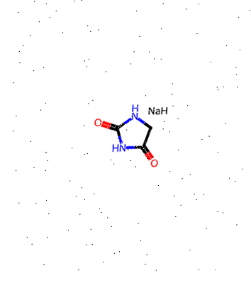 O=C1CNC(=O)N1.[NaH]